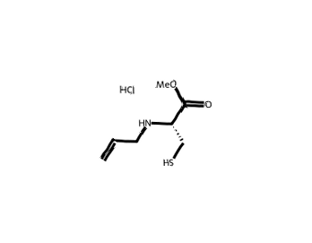 C=CCN[C@@H](CS)C(=O)OC.Cl